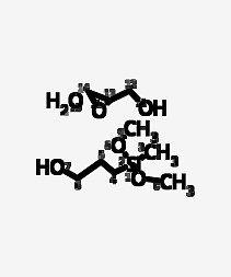 CO[Si](C)(CCCO)OC.O.OCC1CO1